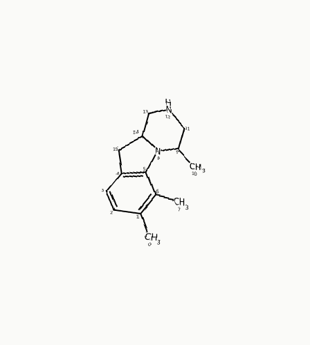 Cc1ccc2c(c1C)N1C(C)CNCC1C2